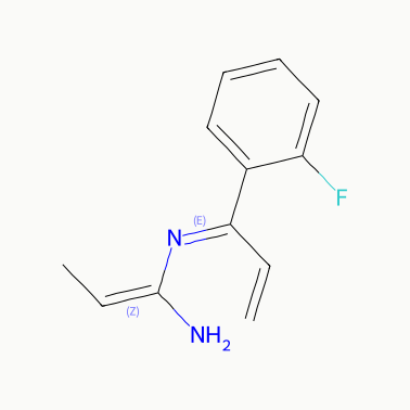 C=C/C(=N\C(N)=C/C)c1ccccc1F